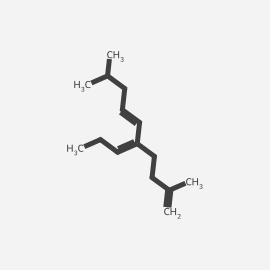 C=C(C)CCC(C=CCC(C)C)=CCC